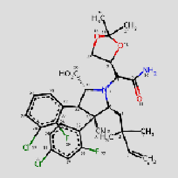 C=CC(C)(C)C[C@@H]1N(C(C(N)=O)[C@H]2COC(C)(C)O2)[C@@H](C(=O)O)[C@H](c2cccc(Cl)c2F)[C@@]1(C#N)c1ccc(Cl)cc1F